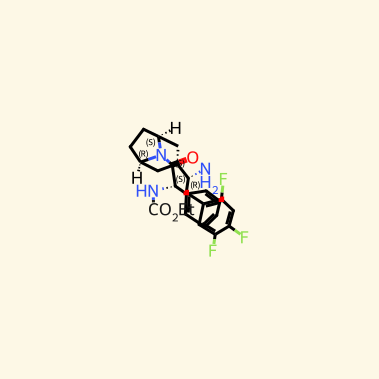 CCOC(=O)N[C@H](C(=O)N1[C@@H]2CC[C@H]1C[C@H]([C@H](N)Cc1cc(F)c(F)cc1F)C2)c1ccccc1